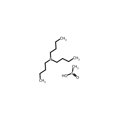 CCCCN(CCCC)CCCC.CS(=O)O